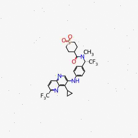 CN(C(=O)C1CCS(=O)(=O)CC1)[C@@H](c1ccc(Nc2cnc3ccc(C(F)(F)F)nc3c2C2CC2)cc1)C(F)(F)F